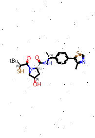 Cc1ncsc1-c1ccc([C@H](C)NC(=O)[C@@H]2C[C@@H](O)CN2C(=O)[C@@H](S)C(C)(C)C)cc1